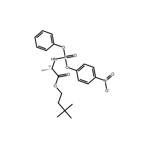 C[C@H](NP(=O)(Oc1ccccc1)Oc1ccc([N+](=O)[O-])cc1)C(=O)OCCC(C)(C)C